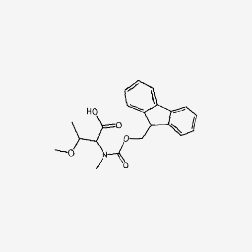 COC(C)C(C(=O)O)N(C)C(=O)OCC1c2ccccc2-c2ccccc21